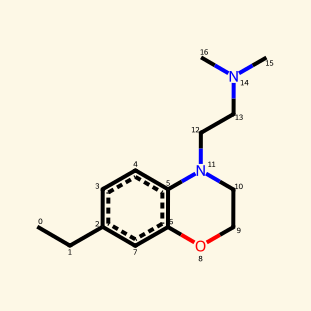 CCc1ccc2c(c1)OCCN2CCN(C)C